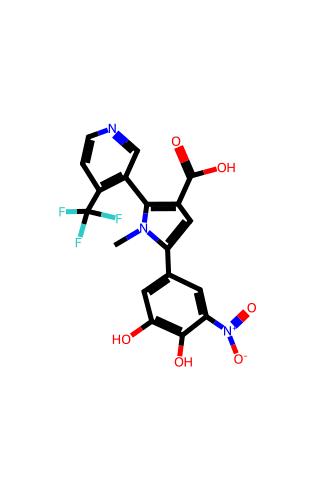 Cn1c(-c2cc(O)c(O)c([N+](=O)[O-])c2)cc(C(=O)O)c1-c1cnccc1C(F)(F)F